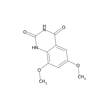 COc1cc(OC)c2[nH]c(=O)[nH]c(=O)c2c1